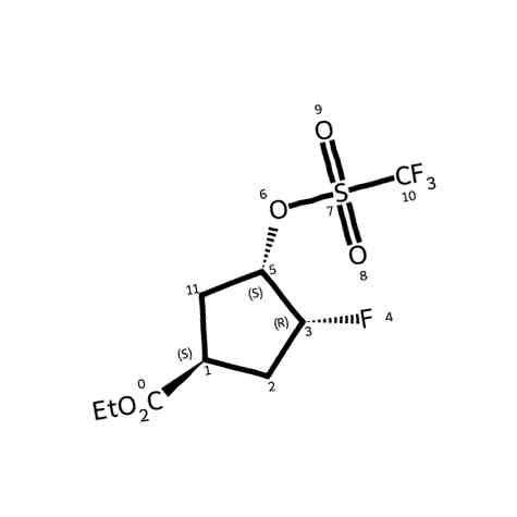 CCOC(=O)[C@@H]1C[C@@H](F)[C@@H](OS(=O)(=O)C(F)(F)F)C1